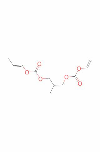 C=COC(=O)OCC(C)COC(=O)OC=CC